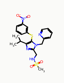 CC(C)c1nc(CNS(C)(=O)=O)n(Cc2ccccn2)c1Sc1cccc([N+](=O)[O-])c1